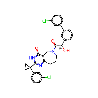 O=C([C@H](O)c1cccc(-c2cccc(Cl)c2)c1)N1CCCc2nc(C3(c4cccc(Cl)c4)CC3)[nH]c(=O)c2C1